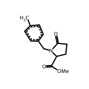 COC(=O)C1CCC(=O)N1Cc1ccc(C)cc1